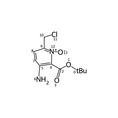 CC(C)(C)OC(=O)c1c(N)ccc(CCl)[n+]1[O-]